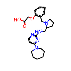 O=C(O)COc1ccccc1CN1CCCC1CNc1nccc(N2CCCCCC2)n1